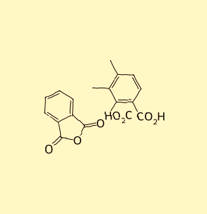 Cc1ccc(C(=O)O)c(C(=O)O)c1C.O=C1OC(=O)c2ccccc21